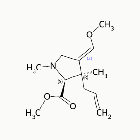 C=CC[C@]1(C)/C(=C/OC)CN(C)[C@@H]1C(=O)OC